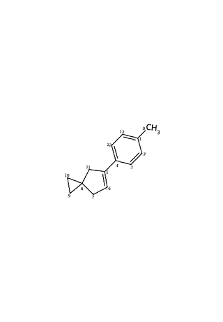 Cc1ccc(C2=[C]CC3(CC3)C2)cc1